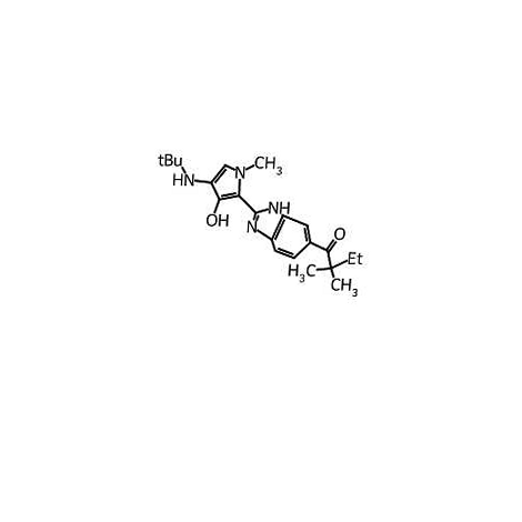 CCC(C)(C)C(=O)c1ccc2nc(-c3c(O)c(NC(C)(C)C)cn3C)[nH]c2c1